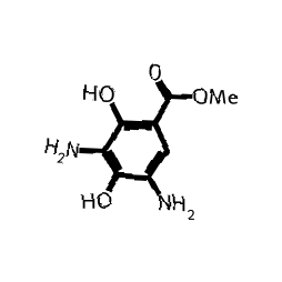 COC(=O)c1cc(N)c(O)c(N)c1O